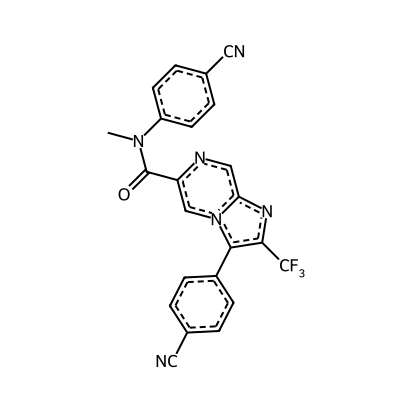 CN(C(=O)c1cn2c(-c3ccc(C#N)cc3)c(C(F)(F)F)nc2cn1)c1ccc(C#N)cc1